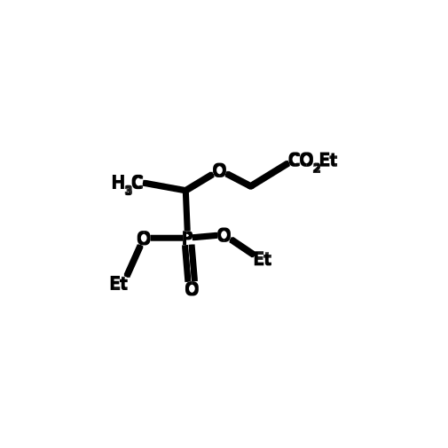 CCOC(=O)COC(C)P(=O)(OCC)OCC